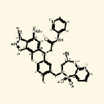 CC[C@@H]1CN(Cc2cc([C@H](CC(=O)Nc3cccnc3)c3cc(OC)c4c(nnn4CC)c3C)ccc2C)S(=O)(=O)c2cccnc2O1